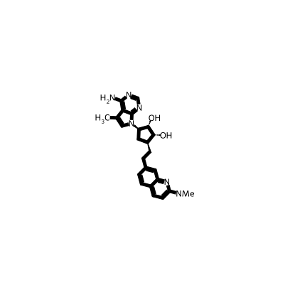 CNc1ccc2ccc(CC[C@H]3C[C@@H](n4cc(C)c5c(N)ncnc54)[C@H](O)[C@@H]3O)cc2n1